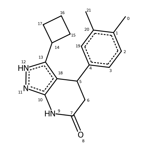 Cc1ccc(C2CC(=O)Nc3n[nH]c(C4CCC4)c32)cc1C